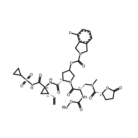 C=C[C@@H]1C[C@]1(NC(=O)[C@@H]1CC(OC(=O)N2Cc3cccc(F)c3C2)CN1C(=O)[C@H](CN(C)C(=O)[C@H]1CCC(=O)O1)NC(=O)OC(C)(C)C)C(=O)NS(=O)(=O)C1CC1